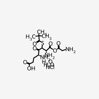 CC(C)(C)C(=O)SC(C(=O)[C@@H](N)CCC(=O)O)[C@H](N)C(=O)OC(=O)CN.Cl.O.O